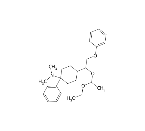 CCOC(C)OC(COc1ccccc1)C1CCC(c2ccccc2)(N(C)C)CC1